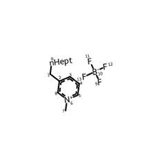 CCCCCCCCc1ccc[n+](C)c1.F[B-](F)(F)F